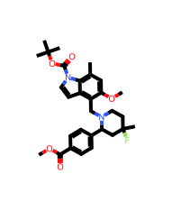 COC(=O)c1ccc(C2CC(C)(F)CCN2Cc2c(OC)cc(C)c3c2ccn3C(=O)OC(C)(C)C)cc1